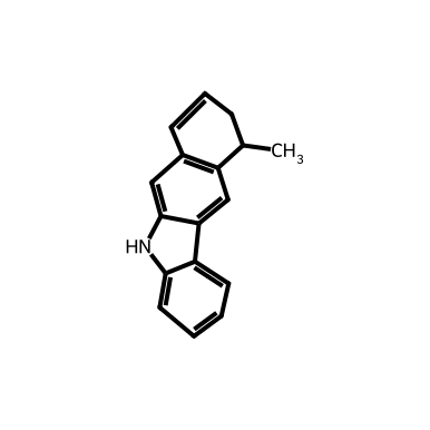 CC1CC=Cc2cc3[nH]c4ccccc4c3cc21